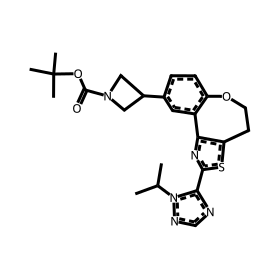 CC(C)n1ncnc1-c1nc2c(s1)CCOc1ccc(C3CN(C(=O)OC(C)(C)C)C3)cc1-2